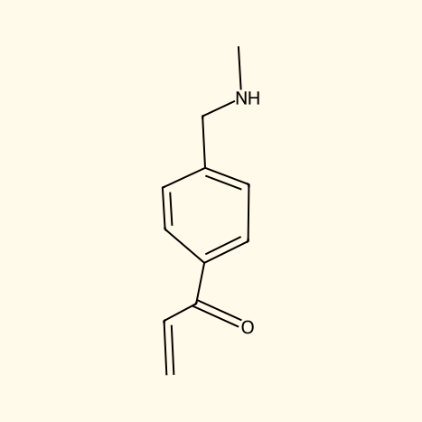 C=CC(=O)c1ccc(CNC)cc1